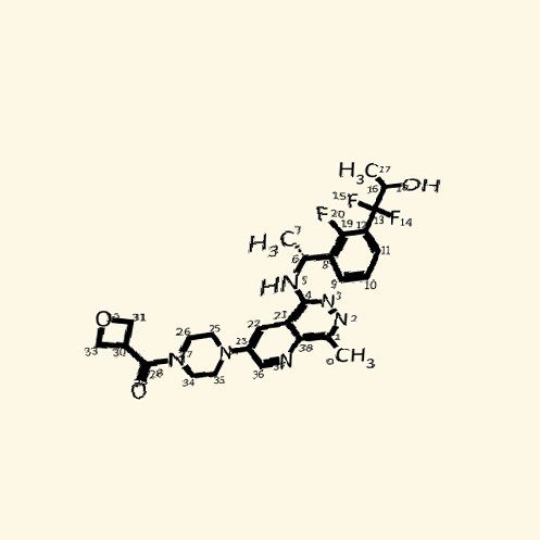 Cc1nnc(N[C@H](C)c2cccc(C(F)(F)C(C)O)c2F)c2cc(N3CCN(C(=O)C4COC4)CC3)cnc12